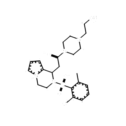 Cc1cccc(Cl)c1S(=O)(=O)N1CCn2cccc2C1CC(=O)N1CCN(CCO)CC1